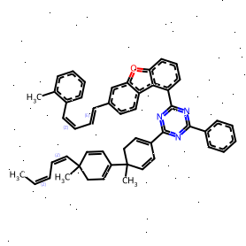 C/C=C\C=C/C1(C)C=CC(C2(C)C=CC(c3nc(-c4ccccc4)nc(-c4cccc5oc6cc(/C=C/C=C\c7ccccc7C)ccc6c45)n3)=CC2)=CC1